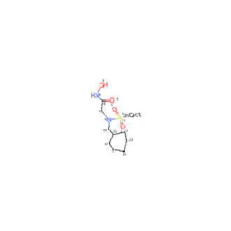 CCCCCCCCS(=O)(=O)N(CC(=O)NO)CC1CCCCC1